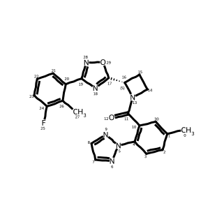 Cc1ccc(-n2nccn2)c(C(=O)N2CC[C@H]2c2nc(-c3cccc(F)c3C)no2)c1